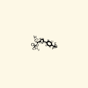 CC(=O)OC(C)c1nc(-c2ccc(C(F)(F)F)cc2)cs1